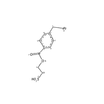 CC(C)Cc1ccc(C(=O)OCCS(=O)(=O)O)cc1